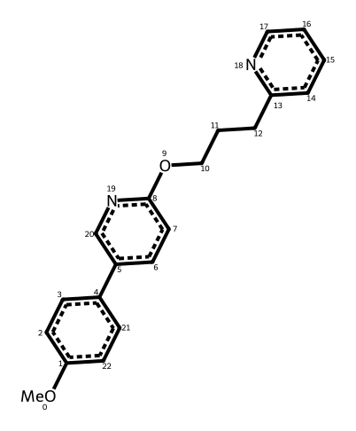 COc1ccc(-c2ccc(OCCCc3ccccn3)nc2)cc1